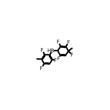 Cc1c(F)cc(F)c(BC2C(F)=CC(C)(F)C(F)=C2F)c1F